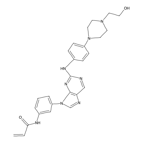 C=CC(=O)Nc1cccc(-n2cnc3cnc(Nc4ccc(N5CCN(CCO)CC5)cc4)nc32)c1